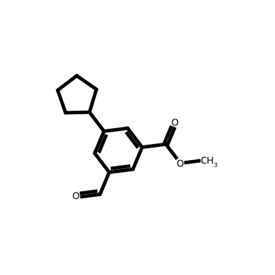 COC(=O)c1cc(C=O)cc(C2CCCC2)c1